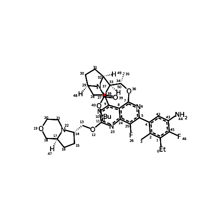 CCc1c(C)c(-c2nc3c4c(nc(OC[C@@H]5CC[C@H]6COCCN65)nc4c2F)N2C[C@H]4CC[C@@H]([C@H]2[C@H](C)O3)N4C(=O)OC(C)(C)C)cc(N)c1F